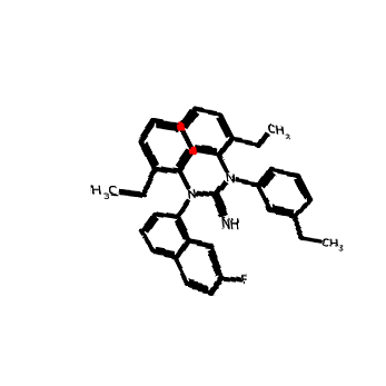 CCc1cccc(N(C(=N)N(c2ccccc2CC)c2cccc3ccc(F)cc23)c2ccccc2CC)c1